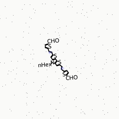 CCCCCCn1c2cc(/C=C/c3ccc(C=O)s3)sc2c2sc(/C=C/c3ccc(C=O)s3)cc21